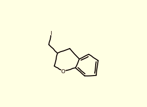 ICC1COc2ccccc2C1